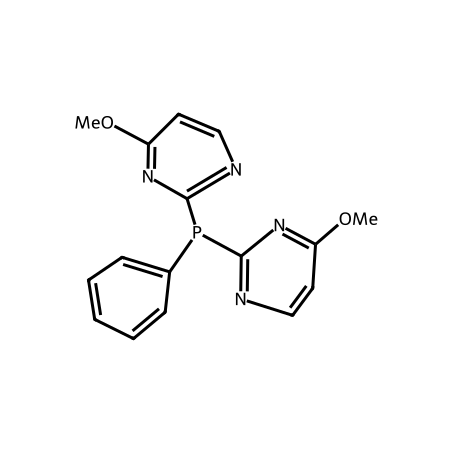 COc1ccnc(P(c2ccccc2)c2nccc(OC)n2)n1